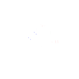 OC1=CC=NNC1(O)F